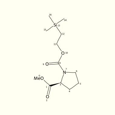 COC(=O)[C@@H]1CCCN1C(=O)OCC[Si](C)(C)C